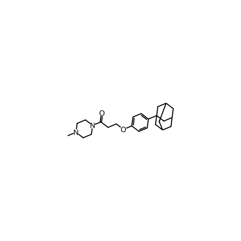 CN1CCN(C(=O)CCOc2ccc(C34CC5CC(CC(C5)C3)C4)cc2)CC1